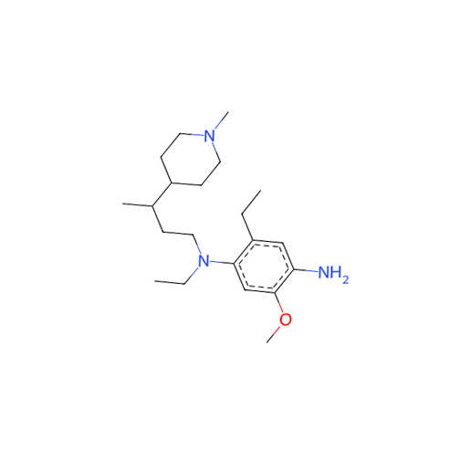 CCc1cc(N)c(OC)cc1N(CC)CCC(C)C1CCN(C)CC1